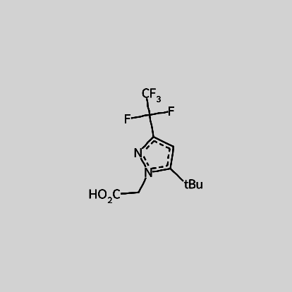 CC(C)(C)c1cc(C(F)(F)C(F)(F)F)nn1CC(=O)O